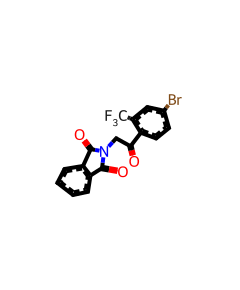 O=C(CN1C(=O)c2ccccc2C1=O)c1ccc(Br)cc1C(F)(F)F